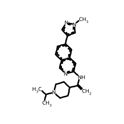 C=C(Nc1cc2cc(-c3cnn(C)c3)ccc2cn1)C1CCN(C(C)C)CC1